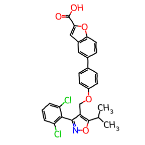 CC(C)c1onc(-c2c(Cl)cccc2Cl)c1COc1ccc(-c2ccc3oc(C(=O)O)cc3c2)cc1